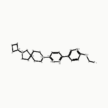 FCOc1ccc(-c2ccc(N3CCC4(CC3)CCN(C3CCC3)C4)nn2)cn1